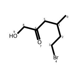 CC(CCBr)CC(=O)CO